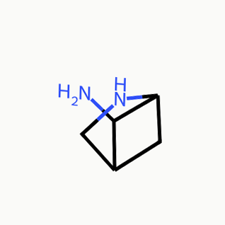 NC1C2CNC1C2